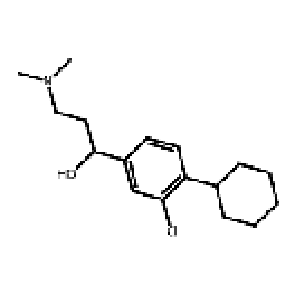 CN(C)CCC(O)c1ccc(C2CCCCC2)c(Cl)c1